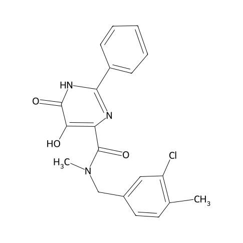 Cc1ccc(CN(C)C(=O)c2nc(-c3ccccc3)[nH]c(=O)c2O)cc1Cl